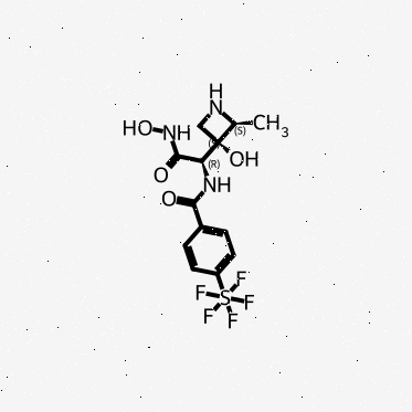 C[C@@H]1NC[C@@]1(O)[C@@H](NC(=O)c1ccc(S(F)(F)(F)(F)F)cc1)C(=O)NO